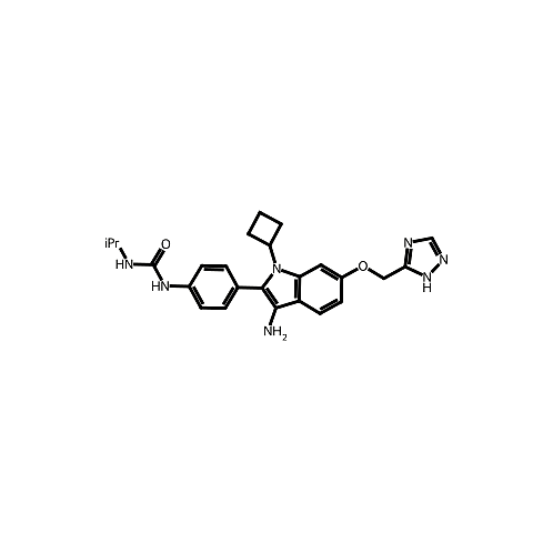 CC(C)NC(=O)Nc1ccc(-c2c(N)c3ccc(OCc4ncn[nH]4)cc3n2C2CCC2)cc1